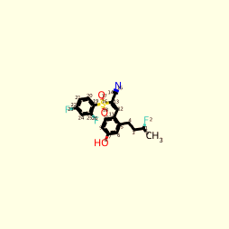 CC(F)CCc1cc(O)ccc1C=C(C#N)S(=O)(=O)c1ccc(F)cc1F